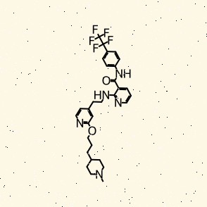 CN1CCC(CCCOc2cc(CCNc3ncccc3C(=O)Nc3ccc(C(F)(F)C(F)(F)F)cc3)ccn2)CC1